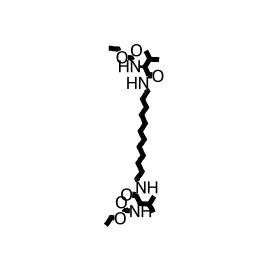 CCOC(=O)N[C@H](C(=O)NCCCCCCCCCCCCNC(=O)[C@@H](NC(=O)OCC)C(C)C)C(C)C